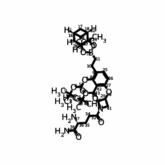 CC(C)(C)OC(=O)Oc1c(CCB2O[C@@H]3C[C@@H]4C[C@@H](C4(C)C)[C@]3(C)O2)ccc(OC2CN(C(=O)CC[C@@H](N)C(N)=O)C2)c1C(=O)OC(C)(C)C